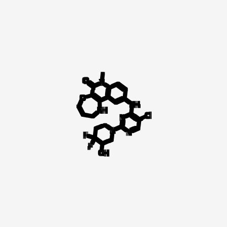 Cn1c(=O)c2c(c3cc(Nc4nc(N5CCC(F)(F)C(O)C5)ncc4Cl)ccc31)NCCCO2